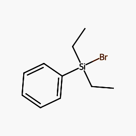 CC[Si](Br)(CC)c1ccccc1